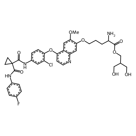 COc1cc2c(Oc3ccc(NC(=O)C4(C(=O)Nc5ccc(F)cc5)CC4)cc3Cl)ccnc2cc1OCCCC(N)C(=O)OCC(CO)CO